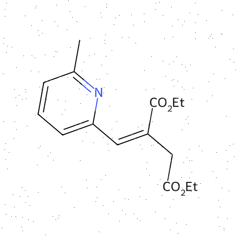 CCOC(=O)C/C(=C/c1cccc(C)n1)C(=O)OCC